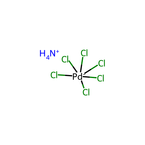 [Cl][Pd-]([Cl])([Cl])([Cl])([Cl])[Cl].[NH4+]